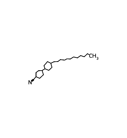 CCCCCCCCCCCCC1CCC(C2CCC(C#N)CC2)CC1